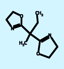 CCC(C)(C1=NCCO1)C1=NCCO1